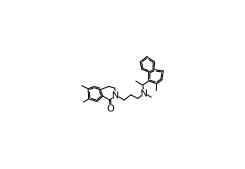 Cc1cc2c(cc1C)C(=O)N(CCCN(C)C(C)c1c(C)ccc3ccccc13)CC2